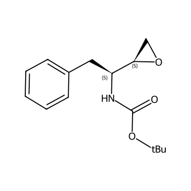 CC(C)(C)OC(=O)N[C@@H](Cc1ccccc1)[C@H]1CO1